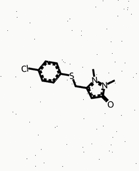 Cn1c(CSc2ccc(Cl)cc2)cc(=O)n1C